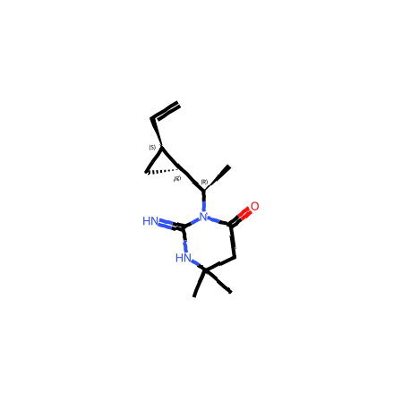 C=C[C@@H]1C[C@H]1[C@@H](C)N1C(=N)NC(C)(C)CC1=O